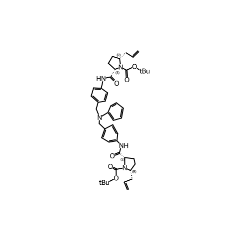 C=CC[C@H]1CC[C@@H](C(=O)Nc2ccc(CN(Cc3ccc(NC(=O)[C@@H]4CC[C@H](CC=C)N4C(=O)OC(C)(C)C)cc3)c3ccccc3)cc2)N1C(=O)OC(C)(C)C